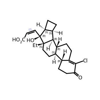 CC[C@]12CC[C@H]3[C@@H](CCC4=C(Cl)C(=O)CC[C@@H]43)[C@@H]1[C@@H]1CC[C@@H]1[C@@]2(O)/C=C\C(=O)O